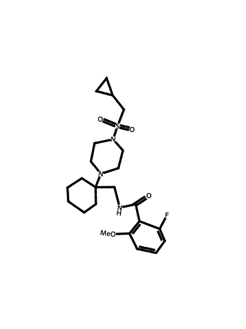 COc1cccc(F)c1C(=O)NCC1(N2CCN(S(=O)(=O)CC3CC3)CC2)CCCCC1